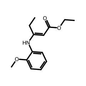 CCOC(=O)C=C(CC)Nc1ccccc1OC